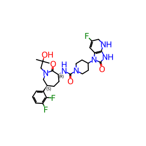 CC(C)(O)CN1C[C@H](c2cccc(F)c2F)CC[C@@H](NC(=O)N2CCC(n3c4c([nH]c3=O)NCC(F)=C4)CC2)C1=O